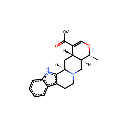 COC(=O)C1=CO[C@H](C)[C@H]2CN3CCc4c([nH]c5ccccc45)[C@H]3C[C@H]12